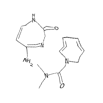 CN(C)C(=O)N1C=CC=CC1.Nc1cc[nH]c(=O)n1